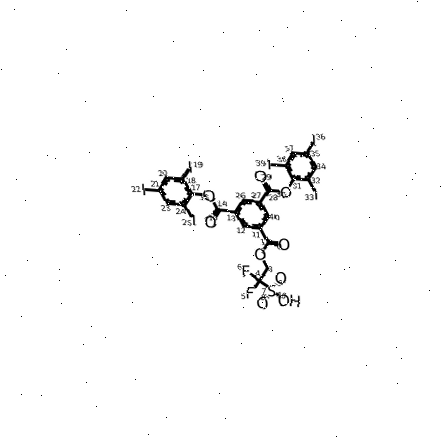 O=C(OCC(F)(F)S(=O)(=O)O)c1cc(C(=O)Oc2c(I)cc(I)cc2I)cc(C(=O)Oc2c(I)cc(I)cc2I)c1